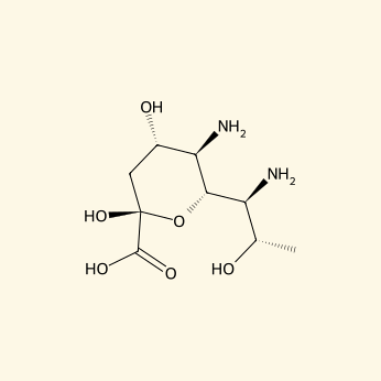 C[C@H](O)[C@H](N)[C@@H]1O[C@](O)(C(=O)O)C[C@H](O)[C@H]1N